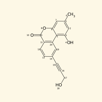 Cc1cc(O)c2c(c1)oc(=O)c1ccc(C#CCO)cc12